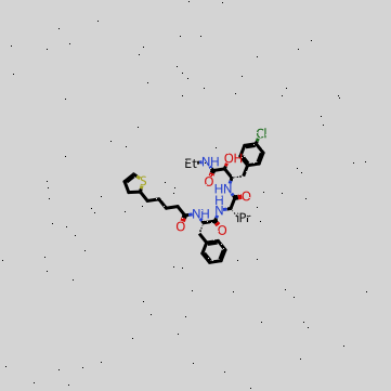 CCNC(=O)C(O)[C@H](Cc1ccc(Cl)cc1)NC(=O)[C@@H](NC(=O)[C@H](Cc1ccccc1)NC(=O)CCCCC1CC=CS1)C(C)C